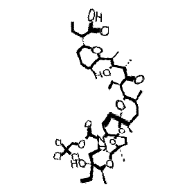 CCC(C(=O)O)[C@H]1CC[C@H](C)[C@H]([C@@H](C)[C@H](O)[C@H](C)C(=O)[C@H](CC)[C@H]2O[C@]3(C=CC(NC(=O)OCC(Cl)(Cl)Cl)[C@]4(CC[C@@](C)([C@H]5CC[C@](O)(CC)[C@H](C)O5)O4)O3)[C@H](C)C[C@@H]2C)O1